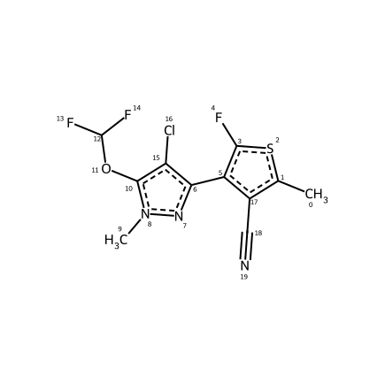 Cc1sc(F)c(-c2nn(C)c(OC(F)F)c2Cl)c1C#N